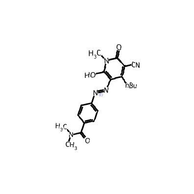 CCCCc1c(/N=N/c2ccc(C(=O)N(C)C)cc2)c(O)n(C)c(=O)c1C#N